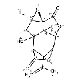 C=C(C)C1C2OC(=O)C1C1(O)C[C@H]3O[C@]34C(=O)OC2C14C